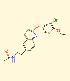 CCOc1ccc(Oc2ccc3cc(CCNC(C)=O)ccc3n2)cc1Br